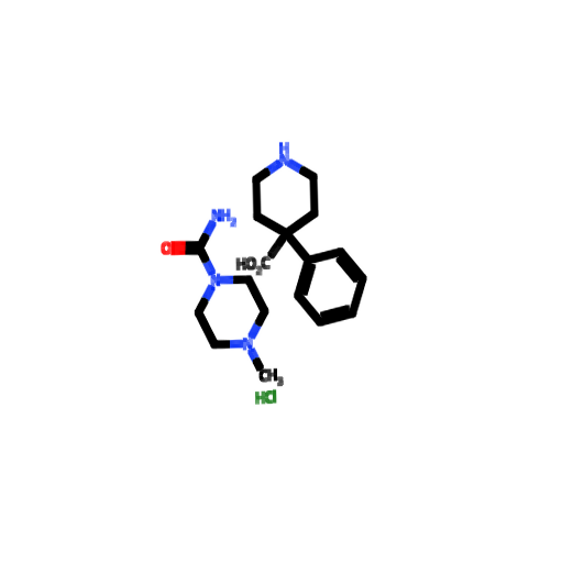 CN1CCN(C(N)=O)CC1.Cl.O=C(O)C1(c2ccccc2)CCNCC1